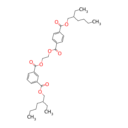 CCCCC(CC)COC(=O)c1ccc(C(=O)OCCOC(=O)c2cccc(C(=O)OCC(CC)CCCC)c2)cc1